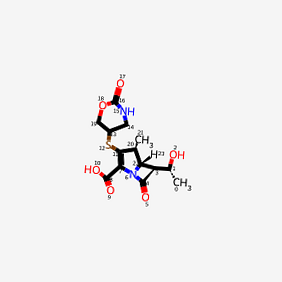 C[C@@H](O)[C@H]1C(=O)N2C(C(=O)O)=C(SC3CNC(=O)OC3)[C@H](C)[C@H]12